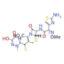 CO/N=C(\C(=O)NC1C(=O)N2C(C(=O)O)=C(C(=S)c3nc(=O)c(O)nn3C)CS[C@@H]12)c1csc(N)n1